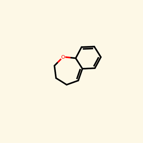 C1=CC2=CCCCOC2C=C1